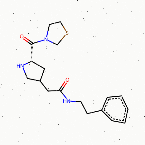 O=C(CC1CN[C@H](C(=O)N2CCSC2)C1)NCCc1ccccc1